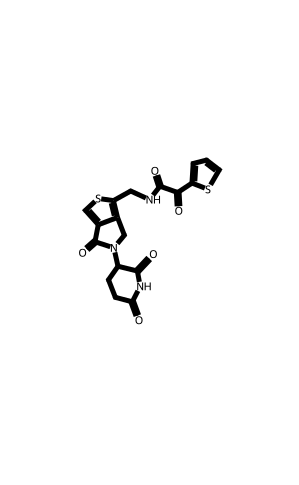 O=C1CCC(N2Cc3c(csc3CNC(=O)C(=O)c3cccs3)C2=O)C(=O)N1